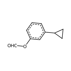 O=COc1cccc(C2CC2)c1